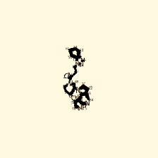 C[C@@H]1CCN(C(=O)CCn2nnc3ccccc32)C[C@@H]1n1ccc2cnc3[nH]ccc3c21